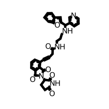 O=C(CC#Cc1cccc2c1C(=O)N(C1CCC(=O)NC1=O)C2=O)NCCCNC(c1cccnc1)c1cc2ccccc2o1